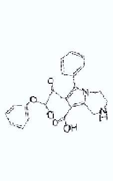 O=C(O)c1c(C(=O)C(Cl)Oc2ccccc2)c(-c2ccccc2)n2c1CNCC2